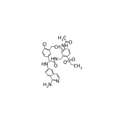 CCc1cc(C(Nc2ccc3c(N)nccc3c2)C(=O)NCc2cc(NC(C)=O)ccc2S(=O)(=O)CC)ccc1Cl